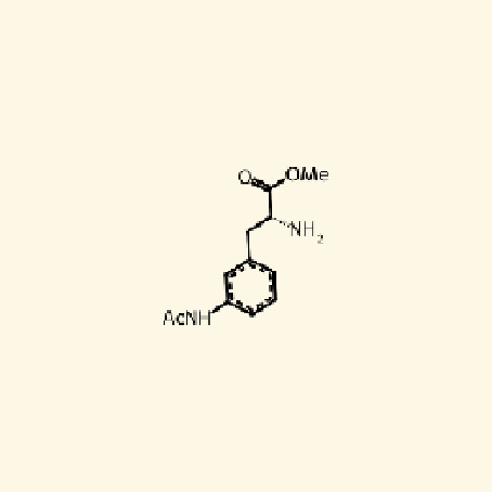 COC(=O)[C@H](N)Cc1cccc(NC(C)=O)c1